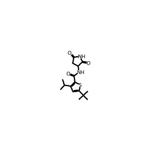 CC(C)c1cc(C(C)(C)C)sc1C(=O)NC1CC(=O)NC1=O